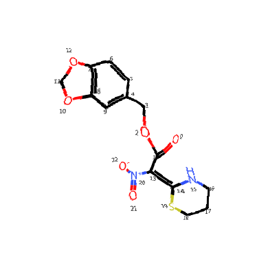 O=C(OCc1ccc2c(c1)OCO2)/C(=C1\NCCCS1)[N+](=O)[O-]